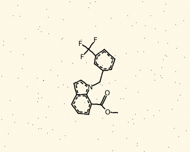 COC(=O)c1cccc2ccn(Cc3cccc(C(F)(F)F)c3)c12